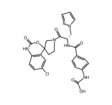 O=C(O)Nc1ccc(C(=O)N[C@@H](Cn2cccn2)C(=O)N2CCC3(C2)OC(=O)Nc2ccc(Cl)cc23)cc1